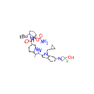 Cc1c(-c2cc3ccc(N4CC(F)(CO)C4)cc3n2CC2CC2)nn2cc(C(=O)N3CC4CCC3(C(C)(C)C)[C@@H]4OC(N)=O)ccc12